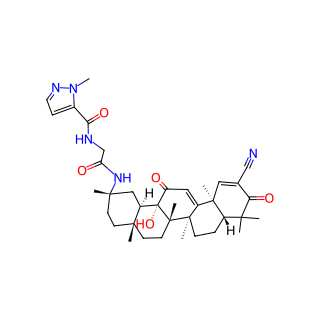 Cn1nccc1C(=O)NCC(=O)N[C@@]1(C)CC[C@@]2(C)CC[C@@]3(C)[C@]4(C)CC[C@H]5C(C)(C)C(=O)C(C#N)=C[C@]5(C)C4=CC(=O)[C@]3(O)[C@@H]2C1